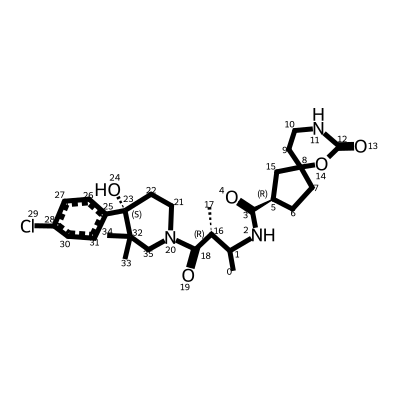 CC(NC(=O)[C@@H]1CCC2(CCNC(=O)O2)C1)[C@@H](C)C(=O)N1CC[C@](O)(c2ccc(Cl)cc2)C(C)(C)C1